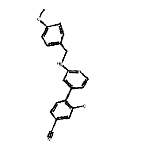 COc1ccc(CNc2cc(-c3ccc(C#N)cc3Cl)ccn2)cc1